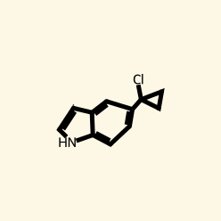 ClC1(c2ccc3[nH]c[c]c3c2)CC1